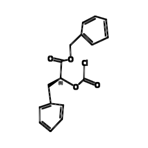 O=C(Cl)O[C@@H](Cc1ccccc1)C(=O)OCc1ccccc1